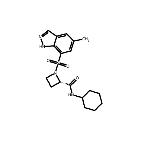 Cc1cc(S(=O)(=O)N2CC[C@H]2C(=O)NC2CCCCC2)c2[nH]ncc2c1